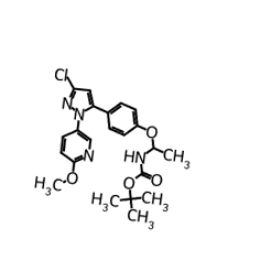 COc1ccc(-n2nc(Cl)cc2-c2ccc(OC(C)NC(=O)OC(C)(C)C)cc2)cn1